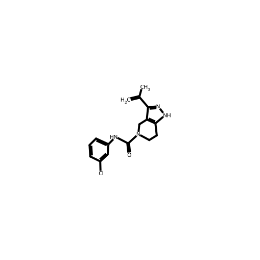 C=C(C)c1n[nH]c2c1CN(C(=O)Nc1cccc(Cl)c1)CC2